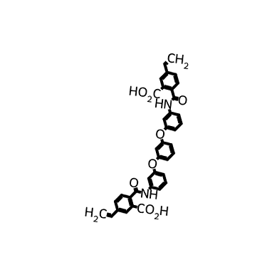 C=Cc1ccc(C(=O)Nc2cccc(Oc3cccc(Oc4cccc(NC(=O)c5ccc(C=C)cc5C(=O)O)c4)c3)c2)c(C(=O)O)c1